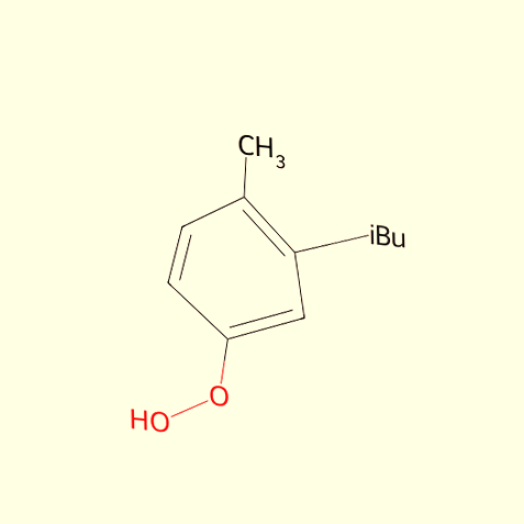 CCC(C)c1cc(OO)ccc1C